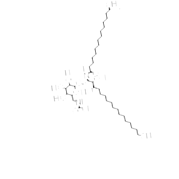 C=CCCCCCCCCCCCCCC(=O)N[C@@H](COC1OC(CNC(C)=O)C(O)C(O)C1O)C(O)[C@H](O)CCCCCCCCCCCCCCC